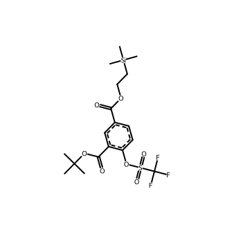 CC(C)(C)OC(=O)c1cc(C(=O)OCC[Si](C)(C)C)ccc1OS(=O)(=O)C(F)(F)F